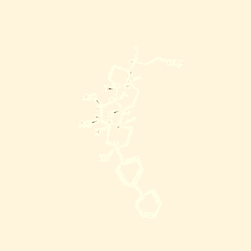 CC(=O)O[C@@H]1[C@H](OC(C)=O)[C@@H]2C[C@](O)(c3ccc(-c4ccccc4)cc3)CC[C@]2(C)[C@H]2CC[C@]3(C)[C@@H]([C@H](C)CCC(=O)O)CC[C@H]3[C@H]12